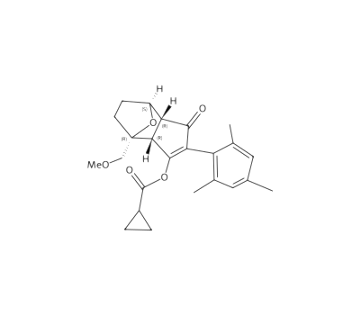 COC[C@]12CC[C@H](O1)[C@@H]1C(=O)C(c3c(C)cc(C)cc3C)=C(OC(=O)C3CC3)[C@@H]12